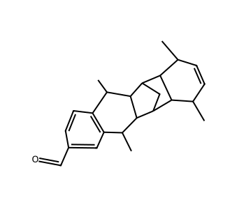 CC1C=CC(C)C2C3CC(C12)C1C(C)c2ccc(C=O)cc2C(C)C31